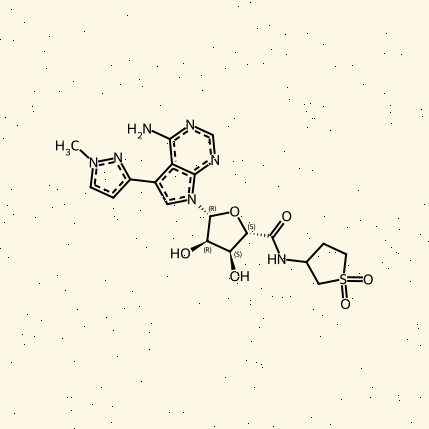 Cn1ccc(-c2cn([C@@H]3O[C@H](C(=O)NC4CCS(=O)(=O)C4)[C@@H](O)[C@H]3O)c3ncnc(N)c23)n1